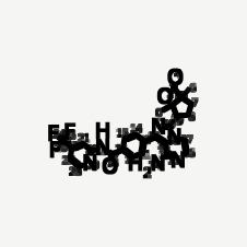 CC12OC(=O)[C@]1(C)CC[C@@H]2c1nc(-c2ccc(C(=O)Nc3cc(C(F)(F)F)ccn3)cc2)c2c(N)nccn12